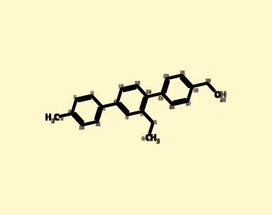 CCc1cc(-c2ccc(C)cc2)ccc1-c1ccc(CO)cc1